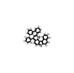 c1ccc(-c2ccccc2-c2cc(-c3ccccc3)c3ccc4sc5ccc6ccccc6c5c4c3n2)cc1